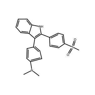 CN(C)c1ccc(-c2c(-c3ccc(S(C)(=O)=O)cc3)[nH]c3ccccc23)cc1